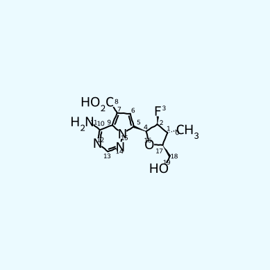 C[C@H]1[C@H](F)[C@H](c2cc(C(=O)O)c3c(N)ncnn23)O[C@@H]1CO